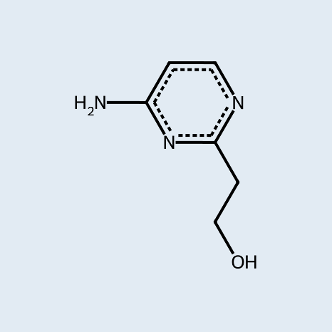 Nc1ccnc(CCO)n1